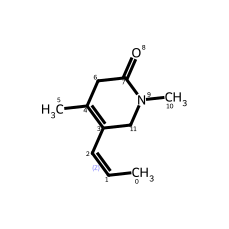 C/C=C\C1=C(C)CC(=O)N(C)C1